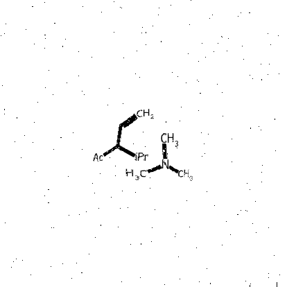 C=CC(C(C)=O)C(C)C.CN(C)C